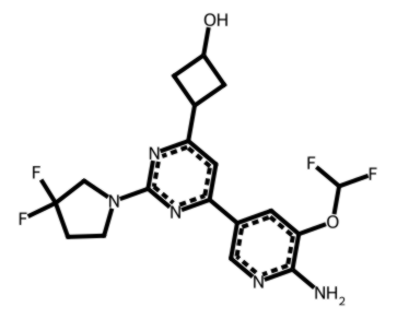 Nc1ncc(-c2cc(C3CC(O)C3)nc(N3CCC(F)(F)C3)n2)cc1OC(F)F